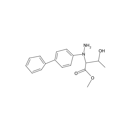 COC(=O)C(C(C)O)N(N)c1ccc(-c2ccccc2)cc1